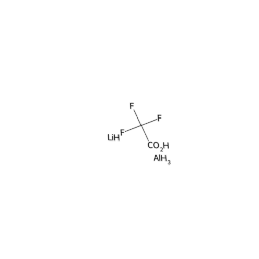 O=C(O)C(F)(F)F.[AlH3].[LiH]